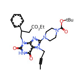 CC#CCn1c(N2CCN(C(=O)OC(C)(C)C)CC2)nc2c1c(=O)[nH]c(=O)n2CC(CC(=O)OCC)c1ccccc1